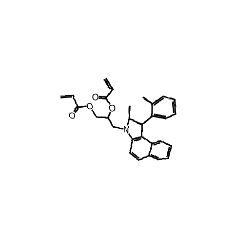 C=CC(=O)OCC(CN1c2ccc3ccccc3c2C(c2ccccc2C)C1C)OC(=O)C=C